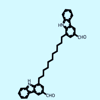 O=Cc1cc(CCCCCCCCCCCc2cc(C=O)cc3c2[nH]c2ccccc23)c2[nH]c3ccccc3c2c1